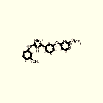 Cc1cccc(Nc2nnc(-c3cccc(Oc4ccnc(OC(F)(F)F)n4)c3)[nH]2)c1